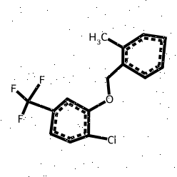 Cc1ccccc1COc1cc(C(F)(F)F)ccc1Cl